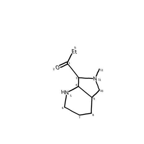 CCC(=O)C1C2NCCCC2CN1C